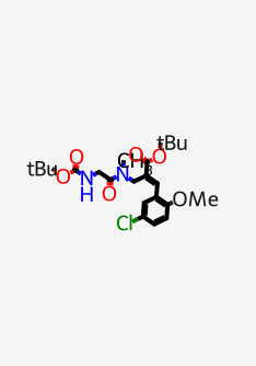 COc1ccc(Cl)cc1/C=C(\CN(C)C(=O)CNC(=O)OC(C)(C)C)C(=O)OC(C)(C)C